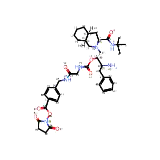 CC(C)(C)NC(=O)[C@@H]1C[C@@H]2CCCC[C@@H]2CN1C[C@@H](OC(=O)NCC(=O)NCc1ccc(C(=O)ON2C(=O)CCC2=O)cc1)[C@@H](N)Cc1ccccc1